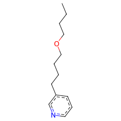 CCCCOCCCCc1cccnc1